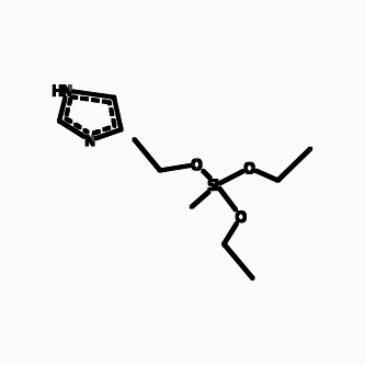 CCO[Si](C)(OCC)OCC.c1c[nH]cn1